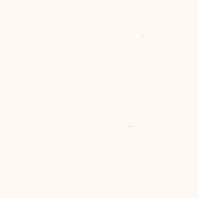 C1=CC[C]([Ti][C]2=CC=CC2)=C1.CCCCC(CC)COC(=O)CC(C(=O)OCC(CC)CCCC)S(=O)(=O)O.[NaH]